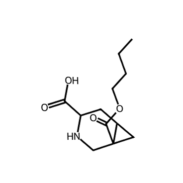 CCCCOC(=O)C12CNC(C(=O)O)CC1C2